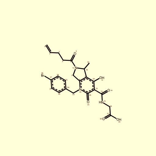 C=CCCC(=O)N1Cc2c(c(O)c(C(=O)NCC(=O)O)c(=O)n2Cc2ccc(Br)cc2)C1C